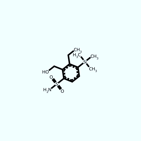 CCc1c([Si](C)(C)C)ccc(S(N)(=O)=O)c1CO